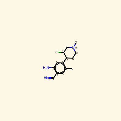 Cc1cc(C=N)c(N)cc1C1CCN(C)CC1F